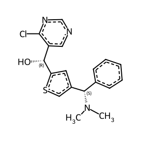 CN(C)[C@@H](c1ccccc1)c1csc([C@H](O)c2cncnc2Cl)c1